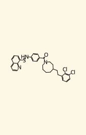 O=C(c1ccc(NSc2cccc3cccnc23)cc1)N1CCCCC(CCc2cccc(Cl)c2Cl)CC1